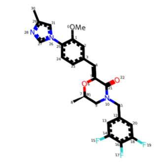 COc1cc(C=C2O[C@H](C)CN(Cc3cc(F)c(F)c(F)c3)C2=O)ccc1-n1cnc(C)c1